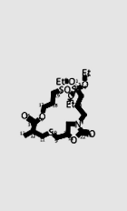 CCO[Si](CCCN1CC(CSCC(C)C(=O)OCCCS(=O)(=O)O)OC1=O)(OCC)OCC